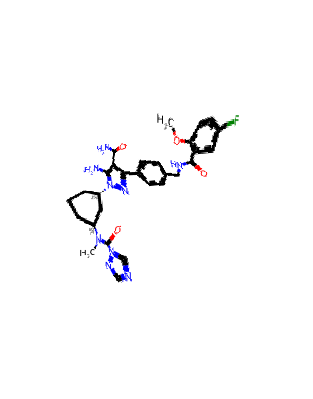 COc1ccc(F)cc1C(=O)NCc1ccc(-c2nn([C@H]3CCC[C@H](N(C)C(=O)n4cncn4)C3)c(N)c2C(N)=O)cc1